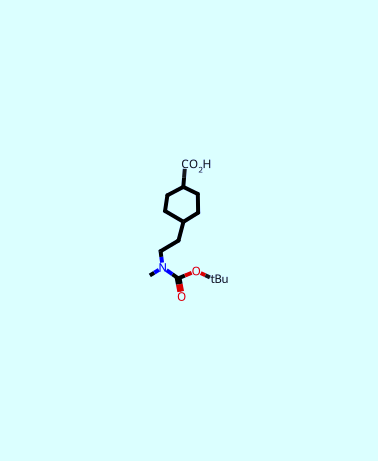 CN(CCC1CCC(C(=O)O)CC1)C(=O)OC(C)(C)C